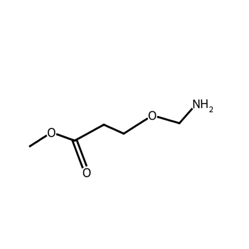 COC(=O)CCOCN